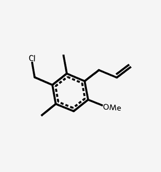 C=CCc1c(OC)cc(C)c(CCl)c1C